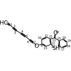 C#CC#CC#CC#COc1ccc(C(=O)c2ccccc2)c(S)c1